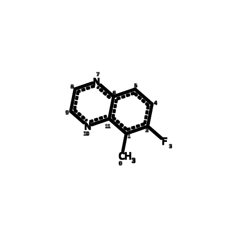 Cc1c(F)ccc2nccnc12